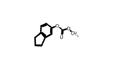 COC(=O)Oc1ccc2c(c1)CCC2